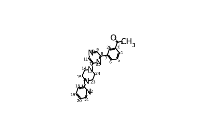 CC(=O)c1cccc(-c2cncc(N3CCN(c4ccccn4)CC3)n2)c1